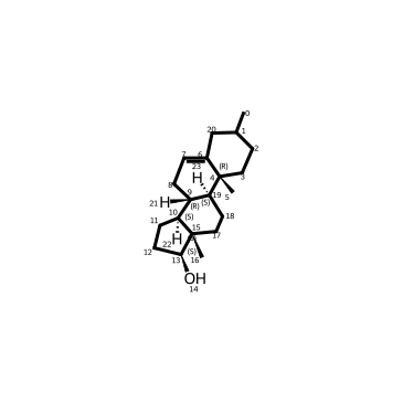 CC1CC[C@@]2(C)C(=CC[C@H]3[C@@H]4CC[C@H](O)[C@@]4(C)CC[C@@H]32)C1